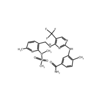 Cc1ccc(CNc2nc(Nc3cc(C(N)=O)ccc3C)ncc2C(F)(F)F)c(N(C)S(C)(=O)=O)n1